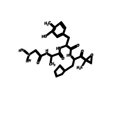 CCCN(CCC)CC(=O)NC(C)C(=O)NC(Cc1ccc(C)c(O)c1)C(=O)NC(CC1CCCC1)C(=O)C1(C)CO1